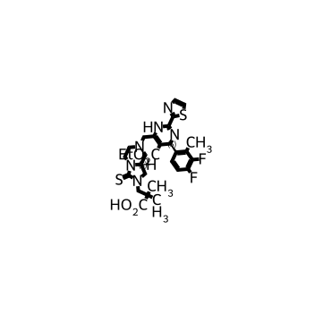 CCOC(=O)C1=C(CN2CCN3C(=S)N(CC(C)(C)C(=O)O)C[C@@H]3C2)NC(c2nccs2)=N[C@H]1c1ccc(F)c(F)c1C